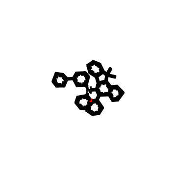 CC1(C)c2ccccc2-c2c(N(c3ccccc3)c3cccc(-c4ccccc4)c3)c(-c3ccccc3)c3ccccc3c21